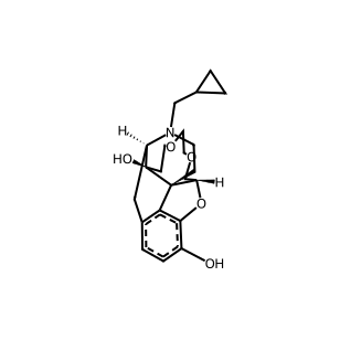 Oc1ccc2c3c1O[C@H]1COCCOCC[C@@]4(O)[C@@H](C2)N(CC2CC2)CC[C@]314